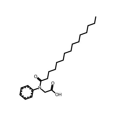 CCCCCCCCCCCCCCC(=O)N(CC(=O)O)c1ccccc1